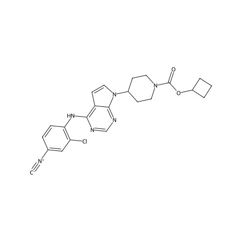 [C-]#[N+]c1ccc(Nc2ncnc3c2ccn3C2CCN(C(=O)OC3CCC3)CC2)c(Cl)c1